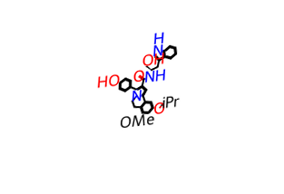 COc1cc2c(cc1OC(C)C)-c1cc(C(=O)N[C@@H](CO)Cc3c[nH]c4ccccc34)c(-c3ccc(O)cc3)n1CC2